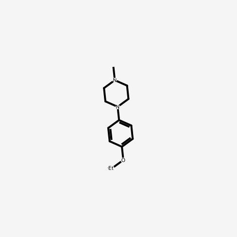 C[CH]Oc1ccc(N2CCN(C)CC2)cc1